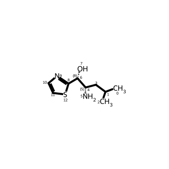 CC(C)C[C@H](N)[C@@H](O)c1nccs1